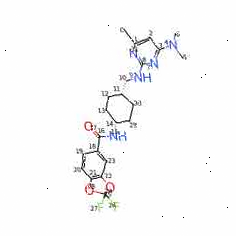 Cc1cc(N(C)C)nc(NC[C@H]2CC[C@@H](NC(=O)c3ccc4c(c3)OC(F)(F)O4)CC2)n1